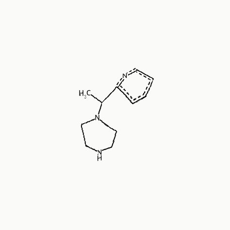 CC(c1ccccn1)N1CCNCC1